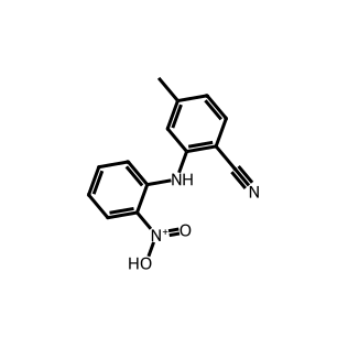 Cc1ccc(C#N)c(Nc2ccccc2[N+](=O)O)c1